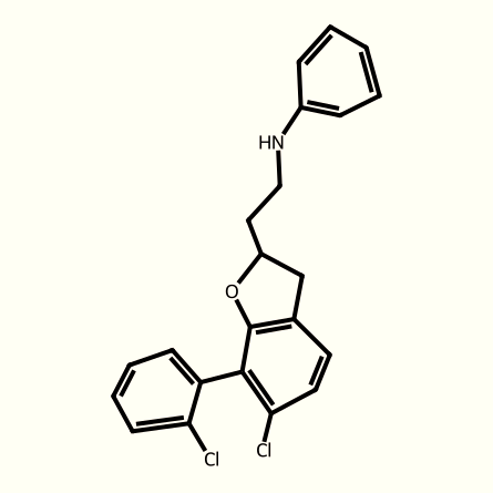 Clc1ccccc1-c1c(Cl)ccc2c1OC(CCNc1ccccc1)C2